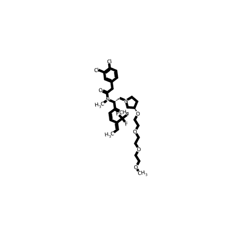 C=C(/C=C\C(=C/C)C(F)(F)F)[C@@H](CN1CC[C@H](OCCOCCOCCOC)C1)N(C)C(=O)Cc1ccc(Cl)c(Cl)c1